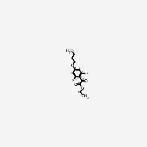 CCCCOc1cc(F)c(C(=O)C(=O)OCC)c(F)c1